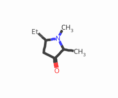 CCC1CC(=O)C(C)N1C